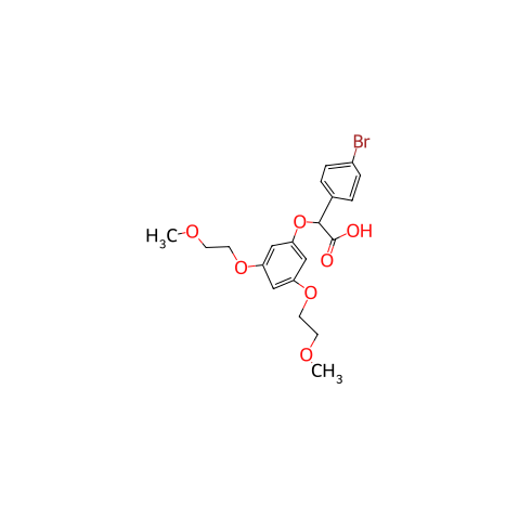 COCCOc1cc(OCCOC)cc(OC(C(=O)O)c2ccc(Br)cc2)c1